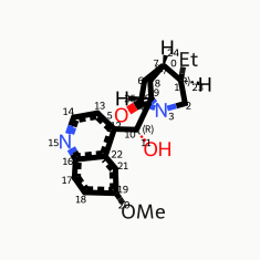 CC[C@H]1CN2C(=O)C[C@H]1C[C@H]2[C@H](O)c1ccnc2ccc(OC)cc12